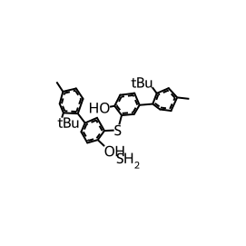 Cc1ccc(-c2ccc(O)c(Sc3cc(-c4ccc(C)cc4C(C)(C)C)ccc3O)c2)c(C(C)(C)C)c1.S